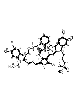 CCN1C(=CC=c2c(=O)oc(=CC=Cc3n(CC)c4cc(Cl)c(Cl)cc4[n+]3CC)n2/N=c2\sc3ccccc3n2C)N(CCCS(=O)(=O)O)c2cc(Cl)c(Cl)cc21